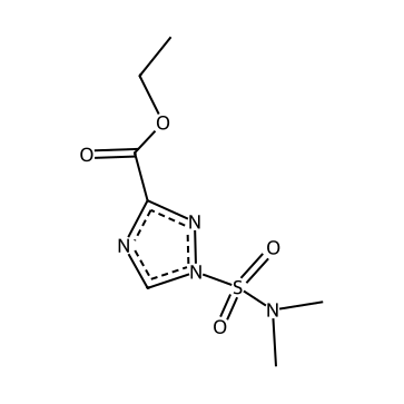 CCOC(=O)c1ncn(S(=O)(=O)N(C)C)n1